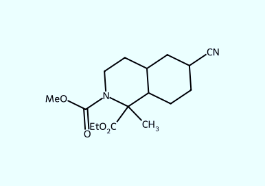 CCOC(=O)C1(C)C2CCC(C#N)CC2CCN1C(=O)OC